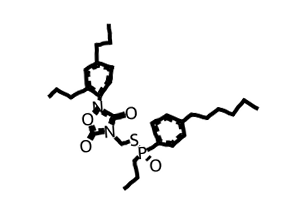 CCCCCCc1ccc(P(=O)(CCC)SCn2c(=O)on(-c3ccc(CCC)cc3CCC)c2=O)cc1